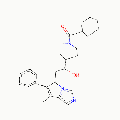 CC1=C(c2ccccc2)C(CC(O)C2CCN(C(=O)C3CCCCC3)CC2)n2cncc21